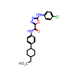 O=C(O)CC1CCC(c2ccc(NC(=O)c3nnc(Nc4ccc(Cl)cc4)o3)cc2)CC1